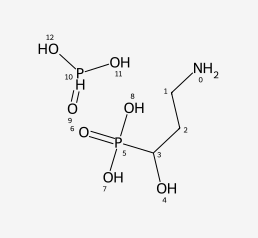 NCCC(O)P(=O)(O)O.O=[PH](O)O